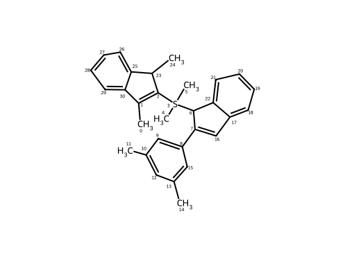 CC1=C(S(C)(C)C2C(c3cc(C)cc(C)c3)=Cc3ccccc32)C(C)c2ccccc21